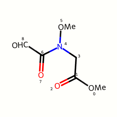 COC(=O)CN(OC)C(=O)C=O